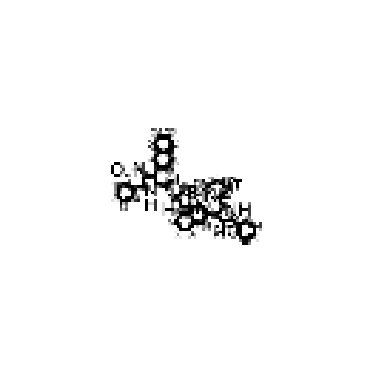 CC(C)CC(NC(=O)C1NC(c2ccccc2)C([N+](=O)[O-])C1c1ccc2ccccc2c1)OBOC(CC(C)C)NC(=O)C1NC(c2ccccc2)C([N+](=O)[O-])C1c1ccc2ccccc2c1